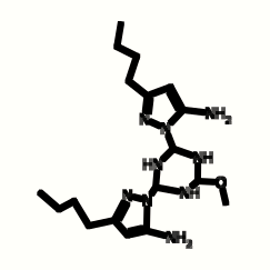 CCCCc1cc(N)n(C2NC(OC)NC(n3nc(CCCC)cc3N)N2)n1